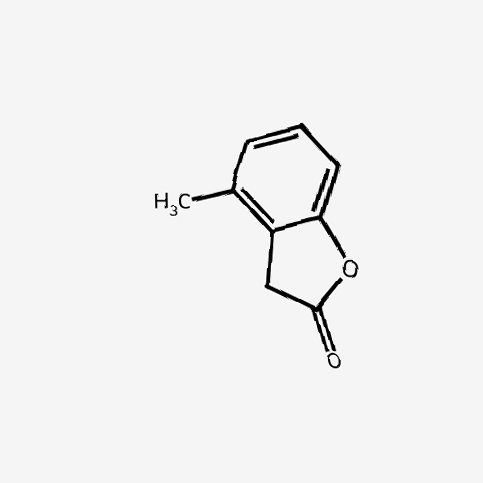 Cc1cccc2c1CC(=O)O2